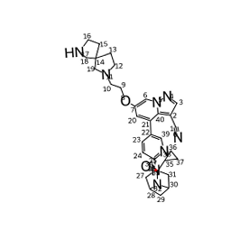 N#Cc1cnn2cc(OCCN3CCC4(CCNC4)C3)cc(-c3ccc(N4CC5CC(C4)N5C(=O)C4CC4)nc3)c12